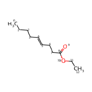 CCCC/C=C/CCC(=O)OCC